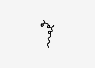 CCCCCOC[C@H](C)OCC(C)=O